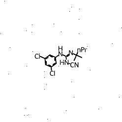 CCCC(C)(C)/N=C(\NC#N)Nc1cc(Cl)cc(Cl)c1